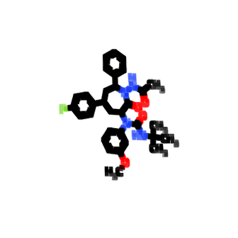 COc1cccc(N(C(=O)NC(C)(C)C)C2CC(c3ccc(F)cc3)CC(c3ccccc3)N(NC(C)=O)C2=O)c1